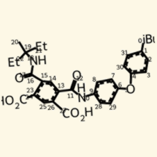 CCC(C)c1ccc(Oc2ccc(NC(=O)c3cc(C(=O)NC(C)(CC)CC)c(C(=O)O)cc3C(=O)O)cc2)cc1